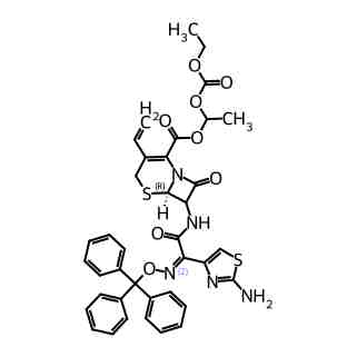 C=CC1=C(C(=O)OC(C)OC(=O)OCC)N2C(=O)C(NC(=O)/C(=N\OC(c3ccccc3)(c3ccccc3)c3ccccc3)c3csc(N)n3)[C@H]2SC1